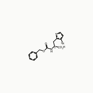 [2H]c1ccsc1C[C@H](NC(=O)OCc1ccccc1)C(=O)O